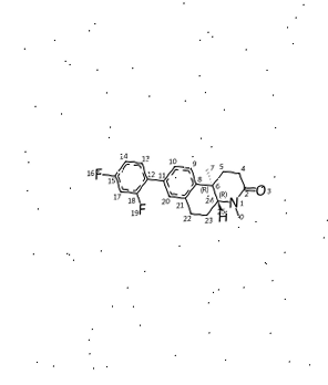 CN1C(=O)CC[C@]2(C)c3ccc(-c4ccc(F)cc4F)cc3CC[C@@H]12